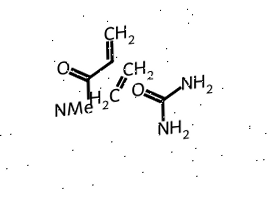 C=C.C=CC(=O)NC.NC(N)=O